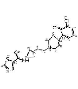 O=C(N[C@H]1C[C@H](CCN2CCN(c3cccc(Cl)c3Cl)CC2)C1)c1nccs1